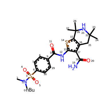 CCCCN(C)S(=O)(=O)c1ccc(C(=O)Nc2sc3c(c2C(N)=O)CC(C)(C)NC3(C)C)cc1